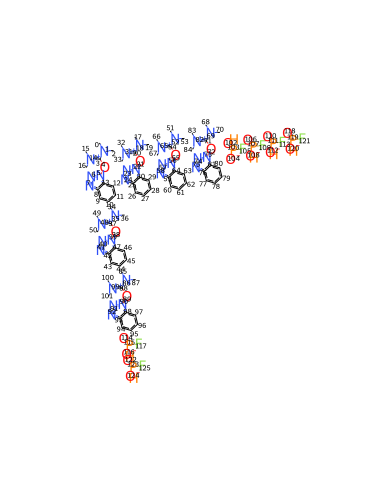 CN(C)C(On1nnc2ccccc21)=[N+](C)C.CN(C)C(On1nnc2ccccc21)=[N+](C)C.CN(C)C(On1nnc2ccccc21)=[N+](C)C.CN(C)C(On1nnc2ccccc21)=[N+](C)C.CN(C)C(On1nnc2ccccc21)=[N+](C)C.CN(C)C(On1nnc2ccccc21)=[N+](C)C.O=[PH]([O-])F.O=[PH]([O-])F.O=[PH]([O-])F.O=[PH]([O-])F.O=[PH]([O-])F.O=[PH]([O-])F